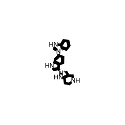 c1ccc2c(c1)[nH]c[n+]2-c1ccc2c(-[n+]3cc4c([nH]3)CCNC4)c[nH]c2c1